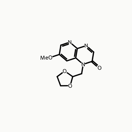 COc1cnc2ncc(=O)n(CC3OCCO3)c2c1